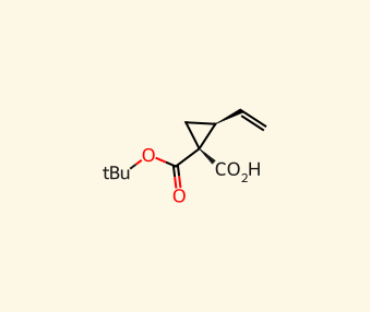 C=C[C@@H]1C[C@@]1(C(=O)O)C(=O)OC(C)(C)C